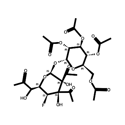 CC(=O)OC[C@H]1O[C@H](O[C@@H]2O[C@H](C(O)C(C)=O)[C@H](F)[C@@](O)(C(C)=O)[C@]2(O)C(C)=O)[C@H](OC(C)=O)[C@@H](OC(C)=O)[C@@H]1OC(C)=O